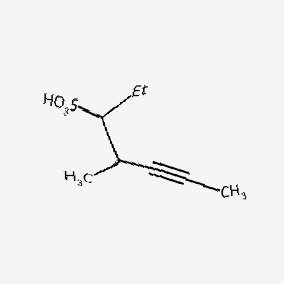 CC#CC(C)C(CC)S(=O)(=O)O